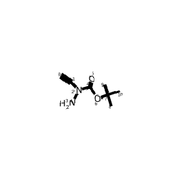 C#CN(N)C(=O)OC(C)(C)C